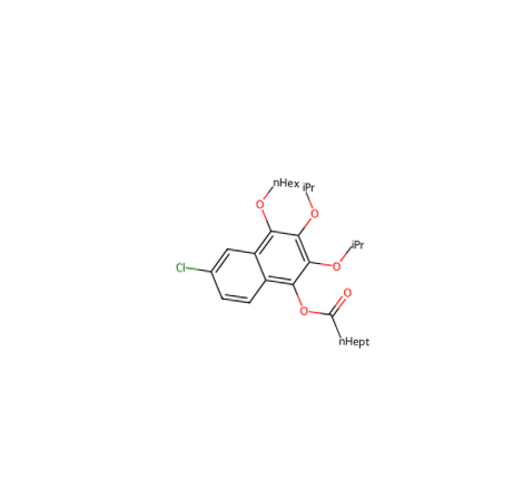 CCCCCCCC(=O)Oc1c(OC(C)C)c(OC(C)C)c(OCCCCCC)c2cc(Cl)ccc12